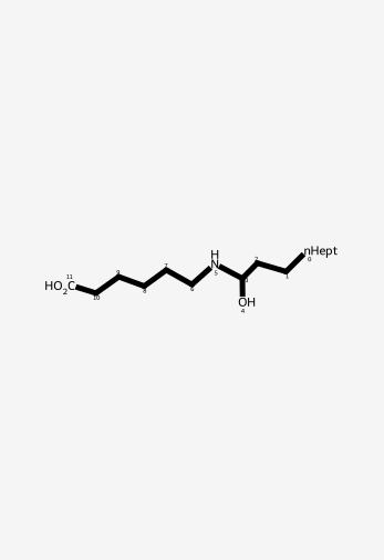 CCCCCCCCCC(O)NCCCCCC(=O)O